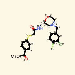 COC(=O)c1ccc(SCC(=O)NC[C@H]2CN(Cc3ccc(F)c(Cl)c3)CCO2)cc1